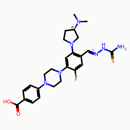 CN(C)[C@@H]1CCN(c2cc(N3CCN(c4ccc(C(=O)O)cc4)CC3)c(F)cc2/C=N/NC(N)=S)C1